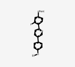 CCCCCc1ccc(-c2ccc(-c3ccc(OCC)cc3)cn2)c(F)c1